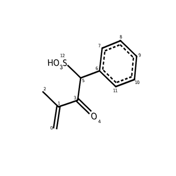 C=C(C)C(=O)C(c1ccccc1)S(=O)(=O)O